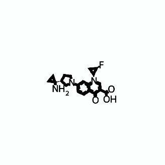 NC1([C@@H]2CCN(c3ccc4c(=O)c(C(=O)O)cn([C@@H]5C[C@H]5F)c4c3)C2)CC1